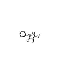 C/C=C(\C(=O)Nc1ccccc1)C(=O)OC